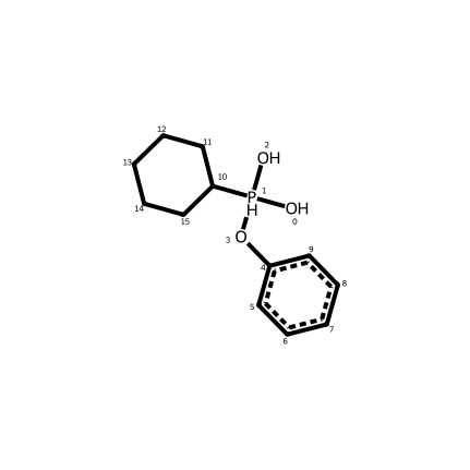 O[PH](O)(Oc1ccccc1)C1CCCCC1